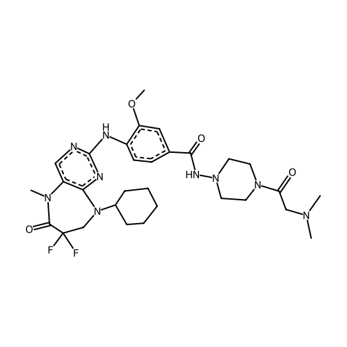 COc1cc(C(=O)NN2CCN(C(=O)CN(C)C)CC2)ccc1Nc1ncc2c(n1)N(C1CCCCC1)CC(F)(F)C(=O)N2C